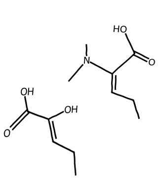 CC/C=C(\C(=O)O)N(C)C.CC/C=C(\O)C(=O)O